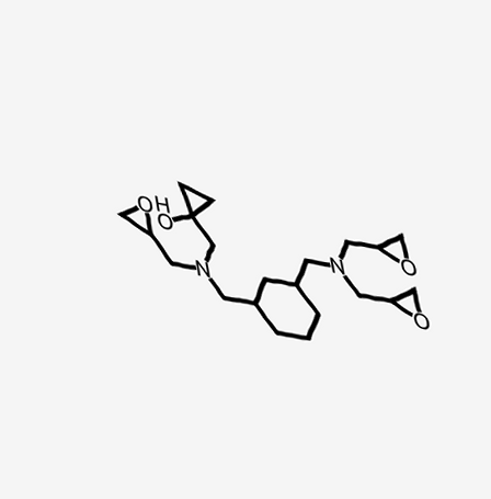 OC1(CN(CC2CCCC(CN(CC3CO3)CC3CO3)C2)CC2CO2)CC1